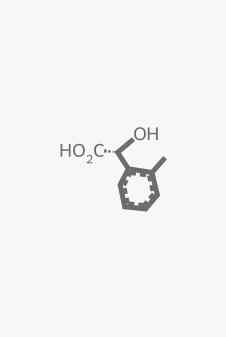 Cc1ccccc1[C@@H](O)C(=O)O